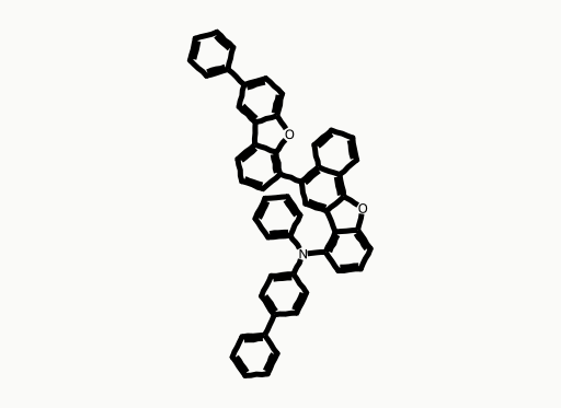 c1ccc(-c2ccc(N(c3ccccc3)c3cccc4oc5c6ccccc6c(-c6cccc7c6oc6ccc(-c8ccccc8)cc67)cc5c34)cc2)cc1